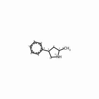 CC1CC(c2ccccc2)CN1